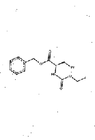 CC(C)C[C@@H](NC(=O)OCI)C(=O)OCc1ccccc1